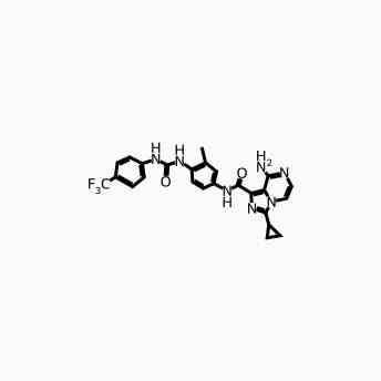 Cc1cc(NC(=O)c2nc(C3CC3)n3ccnc(N)c23)ccc1NC(=O)Nc1ccc(C(F)(F)F)cc1